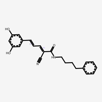 N#C/C(=C\C=C\c1cc(O)cc(O)c1)C(=O)NCCCCc1ccccc1